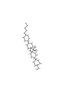 CCCCCC1CCC(C2CC[C@]3(CC2)C[C@@]2(CC[C@H](C4CCC(CC)CC4)CC2)C3(Cl)Cl)CC1